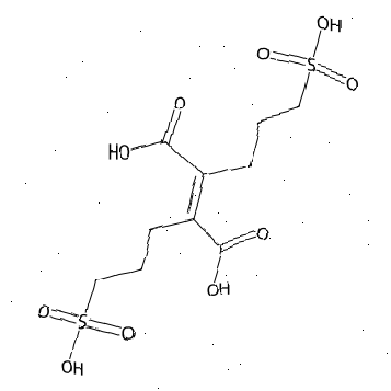 O=C(O)C(CCCS(=O)(=O)O)=C(CCCS(=O)(=O)O)C(=O)O